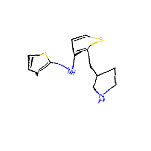 c1csc(Nc2ccsc2C2CCNC2)c1